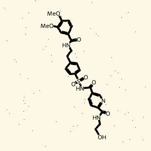 COc1ccc(C(=O)NCCc2ccc(S(=O)(=O)NC(=O)c3ccc(C(=O)NCCO)nc3)cc2)cc1OC